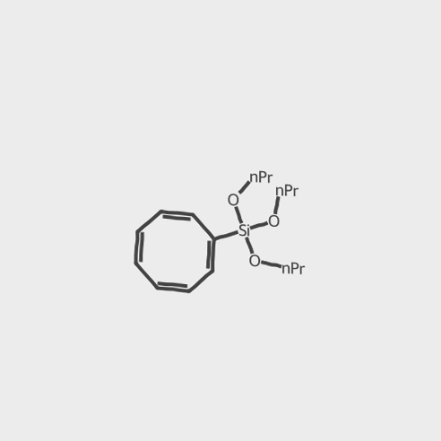 CCCO[Si](OCCC)(OCCC)C1=C/C=C\C=C/C=C\1